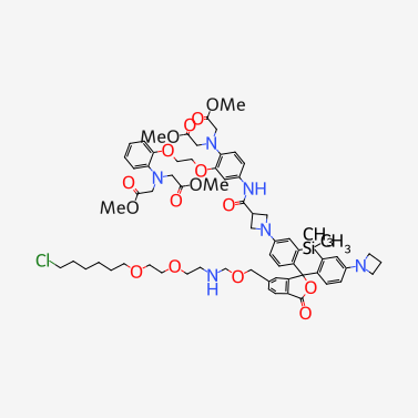 COC(=O)CN(CC(=O)OC)c1ccccc1OCCOc1cc(NC(=O)C2CN(c3ccc4c(c3)[Si](C)(C)c3cc(N5CCC5)ccc3C43OC(=O)c4ccc(COCNCCOCCOCCCCCCCl)cc43)C2)ccc1N(CC(=O)OC)CC(=O)OC